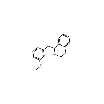 COc1cccc(CC2NCCc3ccccc32)c1